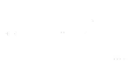 O=C(O)CCCCCCC(=O)OCCCOC(=O)CCCCCCC(=O)O